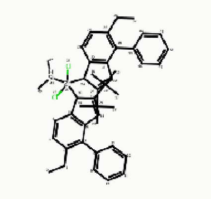 CCc1ccc2c(c1-c1ccccc1)C=C(C(C)(C)C)[CH]2[Zr]([Cl])([Cl])([CH]1C(C(C)(C)C)=Cc2c1ccc(CC)c2-c1ccccc1)[SiH](C)C